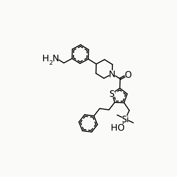 C[Si](C)(O)Cc1cc(C(=O)N2CCC(c3cccc(CN)c3)CC2)sc1CCc1ccccc1